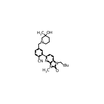 Cn1c(=O)n(CC(C)(C)C)c2ccc(-c3cc(CN4CCCC(C)(O)C4)ccc3C#N)nc21